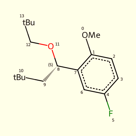 COc1ccc(F)cc1[C@H](CC(C)(C)C)OCC(C)(C)C